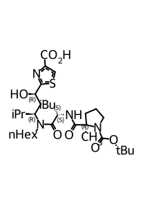 CCCCCCN(C(=O)[C@@H](NC(=O)[C@@]1(C)CCCN1C(=O)OC(C)(C)C)[C@@H](C)CC)[C@H](C[C@@H](O)c1nc(C(=O)O)cs1)C(C)C